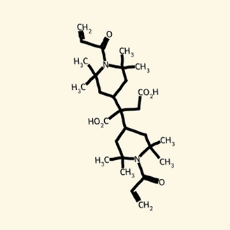 C=CC(=O)N1C(C)(C)CC(C(CC(=O)O)(C(=O)O)C2CC(C)(C)N(C(=O)C=C)C(C)(C)C2)CC1(C)C